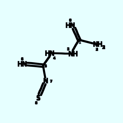 N=C(N)NNC(=N)N=S